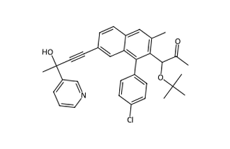 CC(=O)C(OC(C)(C)C)c1c(C)cc2ccc(C#CC(C)(O)c3cccnc3)cc2c1-c1ccc(Cl)cc1